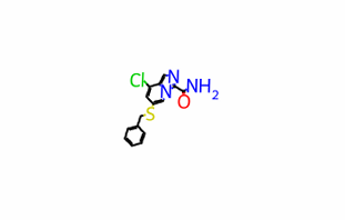 NC(=O)c1ncc2c(Cl)cc(SCc3ccccc3)cn12